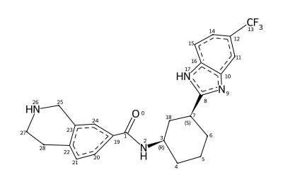 O=C(N[C@@H]1CCC[C@H](c2nc3cc(C(F)(F)F)ccc3[nH]2)C1)c1ccc2c(c1)CNCC2